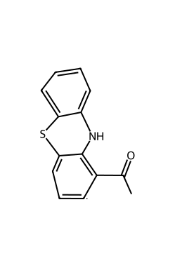 CC(=O)c1[c]ccc2c1Nc1ccccc1S2